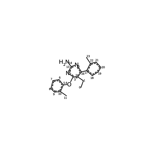 CCc1c(Oc2ccccc2C)nc(N)nc1-c1ccccc1C